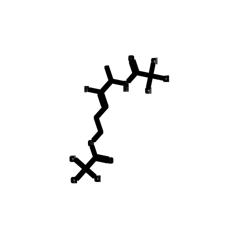 CC(NC(=O)C(Cl)(Cl)Cl)/C(F)=C/CCOC(=O)C(Cl)(Cl)Cl